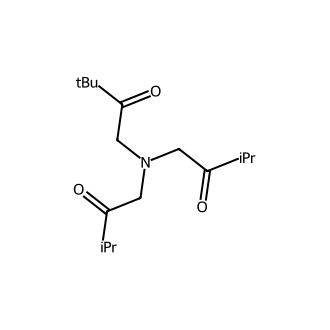 CC(C)C(=O)CN(CC(=O)C(C)C)CC(=O)C(C)(C)C